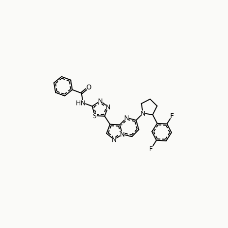 O=C(Nc1nnc(-c2cnn3ccc(N4CCCC4c4cc(F)ccc4F)nc23)s1)c1ccccc1